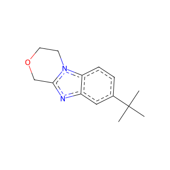 CC(C)(C)c1ccc2c(c1)nc1n2CCOC1